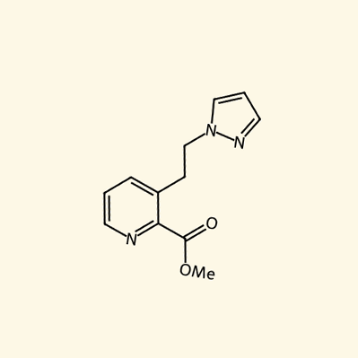 COC(=O)c1ncccc1CCn1cccn1